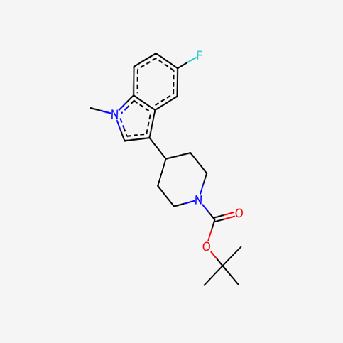 Cn1cc(C2CCN(C(=O)OC(C)(C)C)CC2)c2cc(F)ccc21